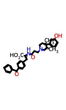 C[C@H]1CN(CCC(=O)N[C@@H](Cc2ccc(C(=O)c3ccccc3)cc2)C(=O)O)CC[C@@]1(C)c1cccc(O)c1